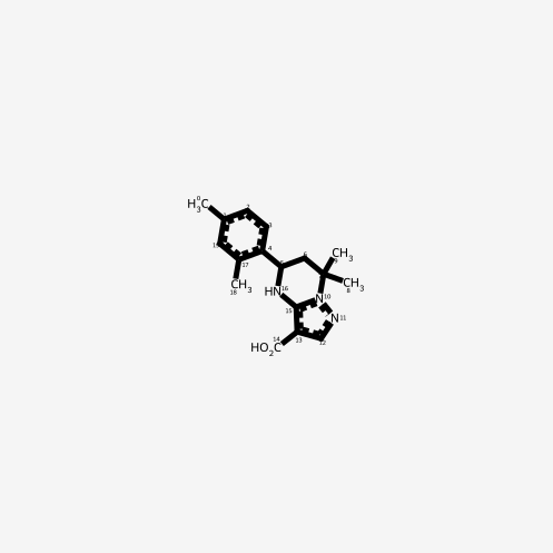 Cc1ccc(C2CC(C)(C)n3ncc(C(=O)O)c3N2)c(C)c1